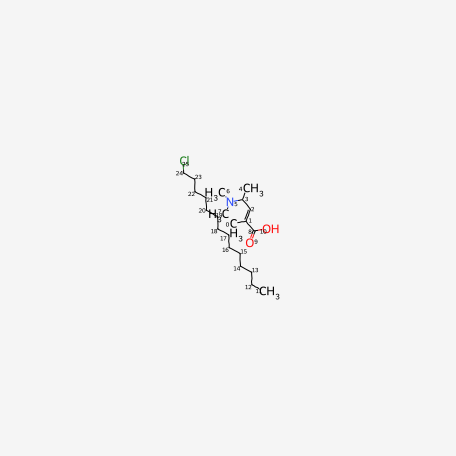 CC(=CC(C)N(C)C)C(=O)O.CCCCCCCCCCCCCCCl